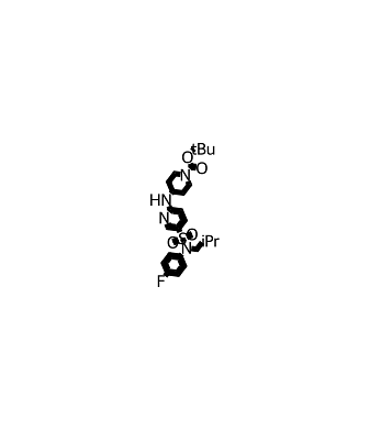 CC(C)CN(c1ccc(F)cc1)S(=O)(=O)c1ccc(NC2CCN(C(=O)OC(C)(C)C)CC2)nc1